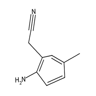 Cc1ccc(N)c(CC#N)c1